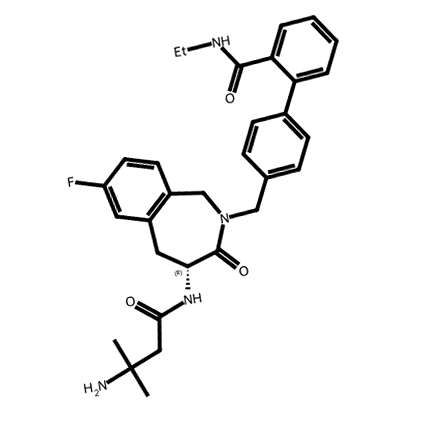 CCNC(=O)c1ccccc1-c1ccc(CN2Cc3ccc(F)cc3C[C@@H](NC(=O)CC(C)(C)N)C2=O)cc1